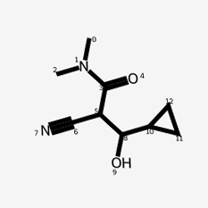 CN(C)C(=O)C(C#N)C(O)C1CC1